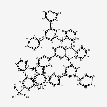 Cc1cc(-c2ccccc2-n2c3ccccc3c3cc(-c4cc5c6c(c4)N(c4cc(-c7ccccc7)cc(-c7ccccc7)c4)c4ccccc4B6c4ccccc4N5c4cc(-c5ccccc5)cc(-c5ccccc5)c4)ccc32)cc(C(F)(F)F)c1